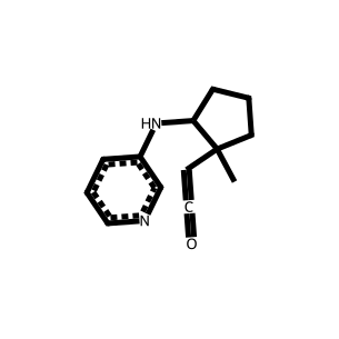 CC1(C=C=O)CCCC1Nc1cccnc1